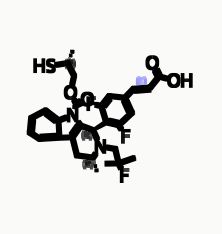 C[C@@H]1Cc2c(n(C(=O)OC[C@@H](C)S)c3ccccc23)[C@@H](c2c(F)cc(/C=C/C(=O)O)cc2F)N1CC(C)(C)F